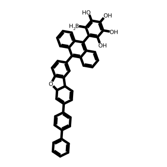 Bc1c(O)c(O)c(O)c(O)c1-c1c2ccccc2c(-c2ccc3c(c2)C2C=CC(c4ccc(-c5ccccc5)cc4)=CC2O3)c2ccccc12